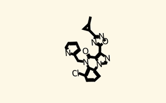 CC1CC1c1noc(-c2ncn3c2c(=O)n(Cc2ccccn2)c2c(Cl)cccc23)n1